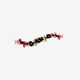 CC(C)(SC(=S)c1ccc(OCCOC(=O)CCC(=O)O)cc1)c1ccc(C(C)(C)SC(=S)c2ccc(OCCOC(=O)CCC(=O)O)cc2)cc1